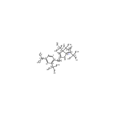 O=[N+]([O-])c1ccc(NC2=NC(C(F)(F)F)(C(F)(F)F)/C(=C(\F)C(F)(F)F)S2)c(C(F)(F)F)c1